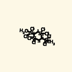 C[Si](Cl)(Cl)C1C[Si](Cl)(Cl)C([Si](C)(Cl)Cl)C[Si]1(Cl)Cl